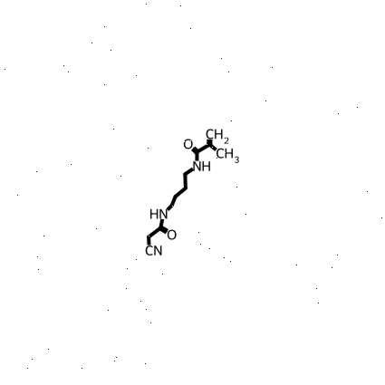 C=C(C)C(=O)NCCCCNC(=O)CC#N